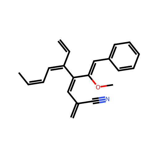 C=CC(=C/C=C\C)/C(=C/C(=C)C#N)C(=C/c1ccccc1)/OC